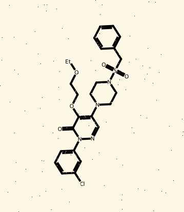 CCOCCOc1c(N2CCN(S(=O)(=O)Cc3ccccc3)CC2)cnn(-c2cccc(Cl)c2)c1=O